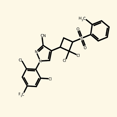 Cc1ccccc1S(=O)(=O)C1CC(c2cn(-c3c(Cl)cc(C(F)(F)F)cc3Cl)nc2C#N)C1(Cl)Cl